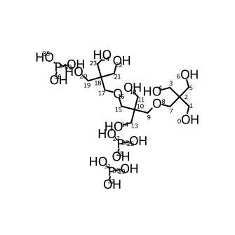 OCC(CO)(CO)COCC(CO)(CO)COCC(CO)(CO)CO.OP(O)O.OP(O)O.OP(O)O